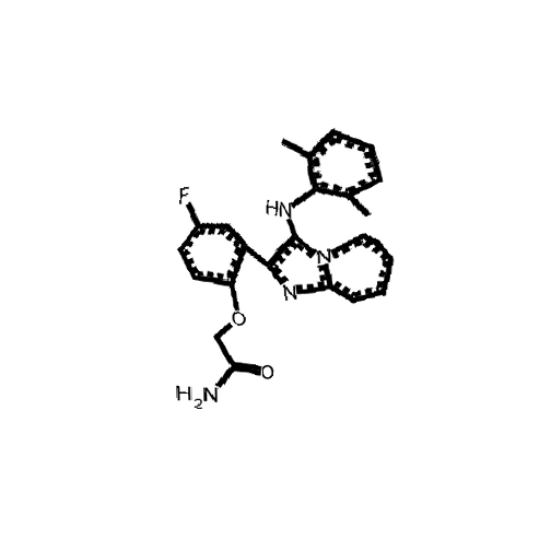 Cc1cccc(C)c1Nc1c(-c2cc(F)ccc2OCC(N)=O)nc2ccccn12